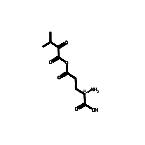 CC(C)C(=O)C(=O)OC(=O)CC[C@H](N)C(=O)O